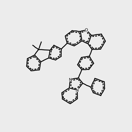 CC1(C)c2ccccc2-c2ccc(-c3ccc4oc5cccc(-c6ccc(-c7nc8ccccn8c7-c7ccccc7)cc6)c5c4c3)cc21